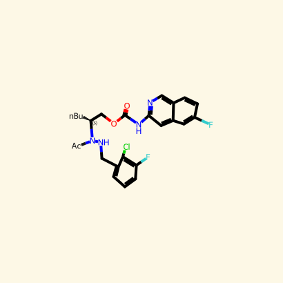 [CH2]CCC[C@@H](COC(=O)Nc1cc2cc(F)ccc2cn1)N(NCc1cccc(F)c1Cl)C(C)=O